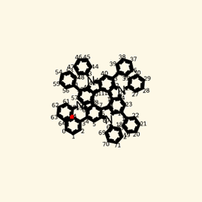 c1ccc(-c2cc3c4c5c6c7c8c9c%10c4c(c(-c4ccccc4)cc%10n(-c4ccccc4)c9c(-c4ccccc4)cc8n(-c4ccccc4)c7c(-c4ccccc4)cc6n(-c4ccccc4)c25)n3-c2ccccc2)cc1